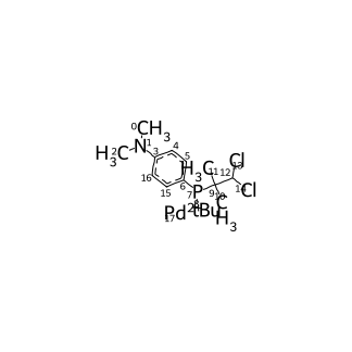 CN(C)c1ccc(P(C(C)(C)C)C(C)(C)C(Cl)Cl)cc1.[Pd+2]